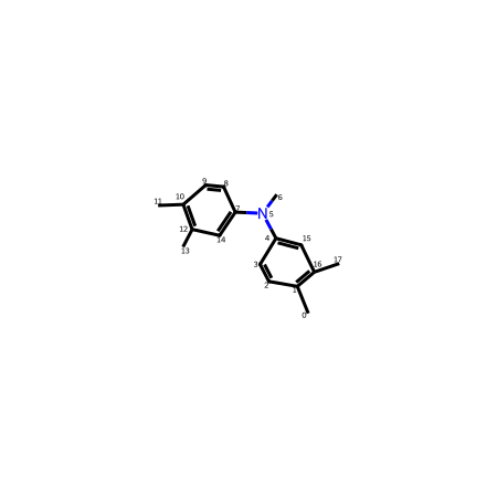 Cc1ccc(N(C)c2ccc(C)c(C)c2)cc1C